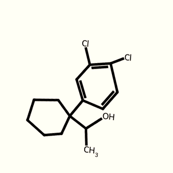 CC(O)C1(c2ccc(Cl)c(Cl)c2)CCCCC1